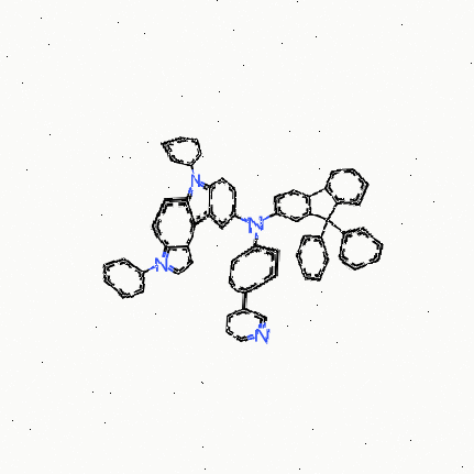 c1ccc(-n2ccc3c4c5cc(N(c6ccc(-c7cccnc7)cc6)c6ccc7c(c6)C(c6ccccc6)(c6ccccc6)c6ccccc6-7)ccc5n(-c5ccccc5)c4ccc32)cc1